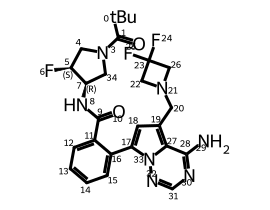 CC(C)(C)C(=O)N1C[C@H](F)[C@H](NC(=O)c2ccccc2-c2cc(CN3CC(F)(F)C3)c3c(N)ncnn23)C1